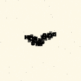 Cl.O=c1c2c(cnn1Cc1nc([C@@H]3CO[C@@H](c4ccc(Cl)cc4)C3)no1)CNCC2